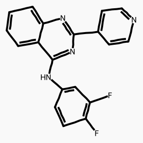 Fc1ccc(Nc2nc(-c3ccncc3)nc3ccccc23)cc1F